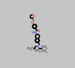 CC(C)CN(Cc1ccc2c(c1)CC[C@H](NC(=O)c1ccc(OC[C@@H]3CCCO3)cc1)C2)CC(C)C